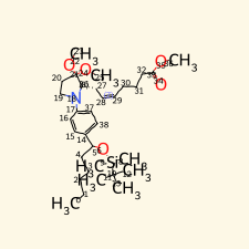 CCCCCC(O[Si](C)(C)C(C)(C)C)c1ccc(N2CCC(OC)(OC)[C@@H]2C/C=C\CCCC(=O)OC)cc1